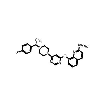 CC(=O)Nc1ccc2cccc(Oc3cc(N4CCN([C@H](C)c5ccc(F)cc5)CC4)ncn3)c2n1